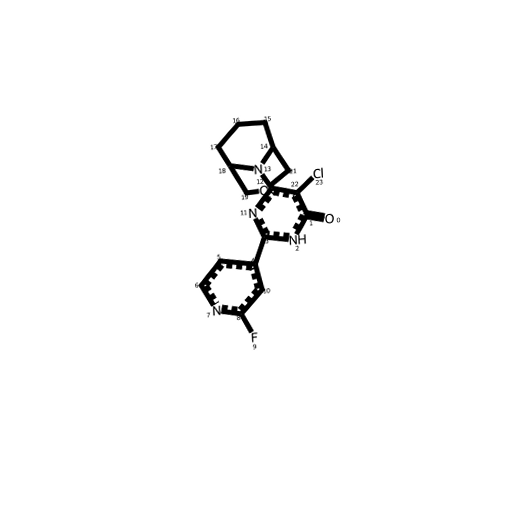 O=c1[nH]c(-c2ccnc(F)c2)nc(N2C3CCCC2COC3)c1Cl